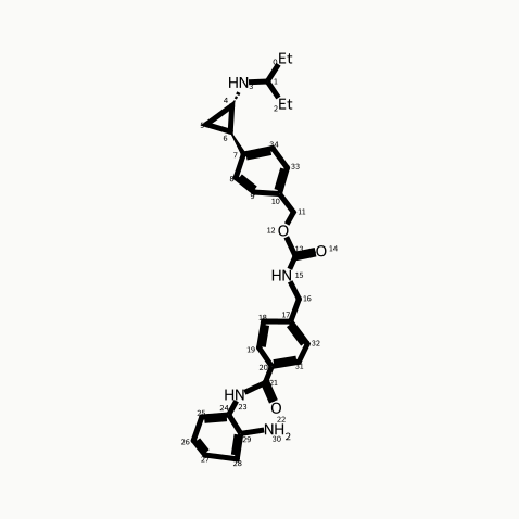 CCC(CC)N[C@H]1C[C@@H]1c1ccc(COC(=O)NCc2ccc(C(=O)Nc3ccccc3N)cc2)cc1